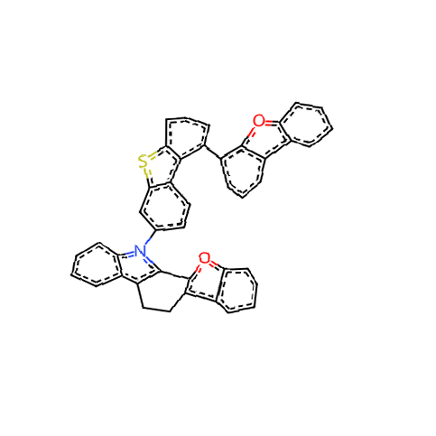 c1ccc2c3c(oc2c1)-c1c(c2ccccc2n1-c1ccc2c(c1)sc1cccc(-c4cccc5c4oc4ccccc45)c12)CC3